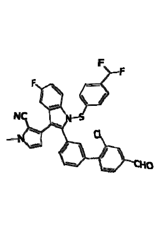 Cn1ccc(-c2c(-c3cccc(-c4ccc(C=O)cc4Cl)c3)n(Sc3ccc(C(F)F)cc3)c3ccc(F)cc23)c1C#N